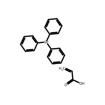 C=CC(=O)O.c1cc[c]([Sn]([c]2ccccc2)[c]2ccccc2)cc1